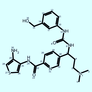 CN(C)CCC(NC(=O)Nc1cccc(CO)c1)c1ccc(C(=O)Nc2cscc2N)nc1